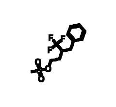 CS(=O)(=O)OCCC(Cc1ccccc1)C(F)(F)F